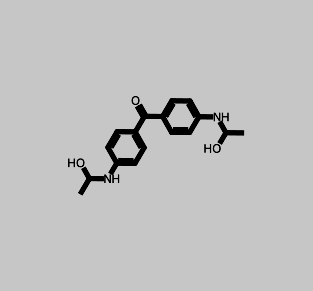 CC(O)Nc1ccc(C(=O)c2ccc(NC(C)O)cc2)cc1